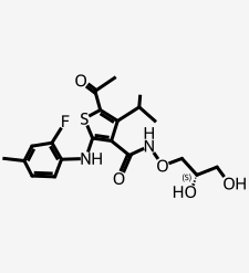 CC(=O)c1sc(Nc2ccc(C)cc2F)c(C(=O)NOC[C@@H](O)CO)c1C(C)C